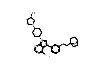 Nc1ncnc2c1c(-c1cccc(OCC34CCC(CC3)O4)c1)cn2[C@H]1CC[C@H](N2CC[C@@H](O)C2)CC1